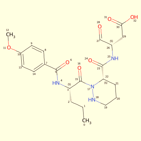 CCC[C@H](NC(=O)c1ccc(OC)cc1)C(=O)N1NCCC[C@H]1C(=O)N[C@H](C=O)CC(=O)O